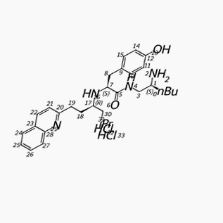 CCCC[C@H](N)CNC(=O)[C@H](Cc1ccc(O)cc1)N[C@H](CCc1ccc2ccccc2n1)CC(C)C.Cl.Cl